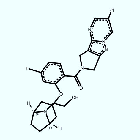 O=C(c1ccc(F)cc1OC1C[C@H]2CC[C@@H](C1)N2CCO)N1Cc2nn3cc(Cl)cnc3c2C1